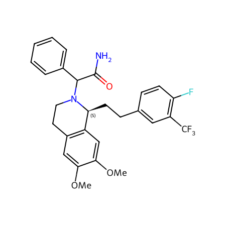 COc1cc2c(cc1OC)[C@H](CCc1ccc(F)c(C(F)(F)F)c1)N(C(C(N)=O)c1ccccc1)CC2